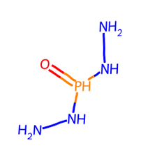 NN[PH](=O)NN